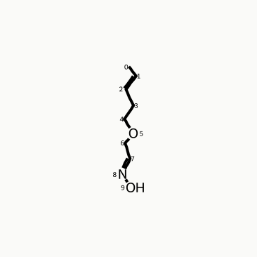 C/C=C/CCOCC=NO